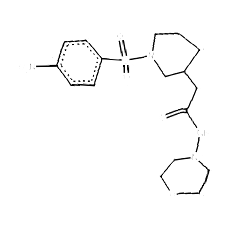 O=C(CC1CCCN(S(=O)(=O)c2ccc([N+](=O)[O-])cc2)C1)NN1CCOCC1